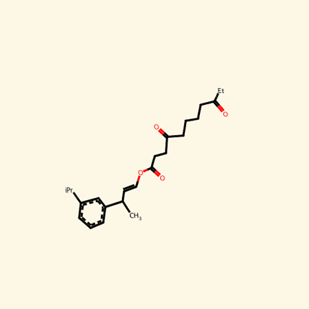 CCC(=O)CCCCC(=O)CCC(=O)OC=CC(C)c1cccc(C(C)C)c1